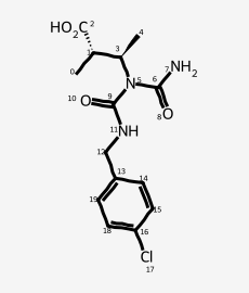 C[C@H](C(=O)O)[C@@H](C)N(C(N)=O)C(=O)NCc1ccc(Cl)cc1